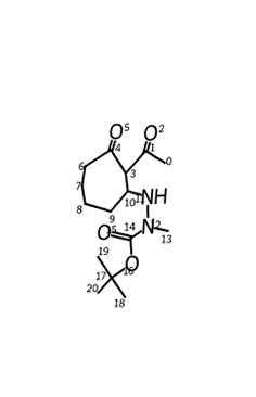 CC(=O)C1C(=O)CCCCC1NN(C)C(=O)OC(C)(C)C